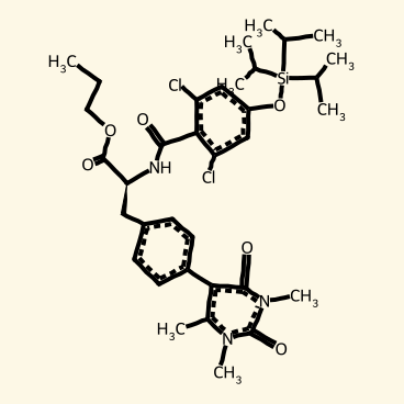 CCCOC(=O)[C@H](Cc1ccc(-c2c(C)n(C)c(=O)n(C)c2=O)cc1)NC(=O)c1c(Cl)cc(O[Si](C(C)C)(C(C)C)C(C)C)cc1Cl